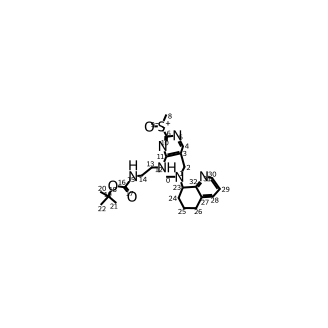 CN(Cc1cnc([S+](C)[O-])nc1NCCNC(=O)OC(C)(C)C)C1CCCc2cccnc21